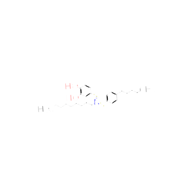 CCCCCCCCCN(Sc1ccc(CCCCC)cc1)Sc1ccc(O)c(O)c1